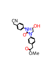 COC(=O)Cc1ccc(N(CCO)C(=O)Nc2ccc(CC#N)cc2)cc1